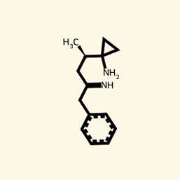 C[C@H](CC(=N)Cc1ccccc1)C1(N)CC1